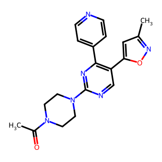 CC(=O)N1CCN(c2ncc(-c3cc(C)no3)c(-c3ccncc3)n2)CC1